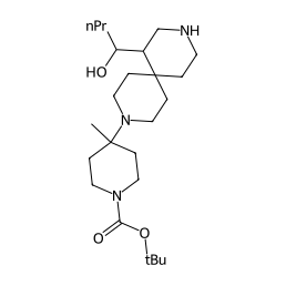 CCCC(O)C1CNCCC12CCN(C1(C)CCN(C(=O)OC(C)(C)C)CC1)CC2